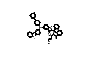 C=CC1C(/C=C/Cl)Oc2c(oc3ccc(N(c4ccc(-c5ccccc5)cc4)c4ccc5oc6ccccc6c5c4)cc23)C1(c1ccccc1)c1ccccc1